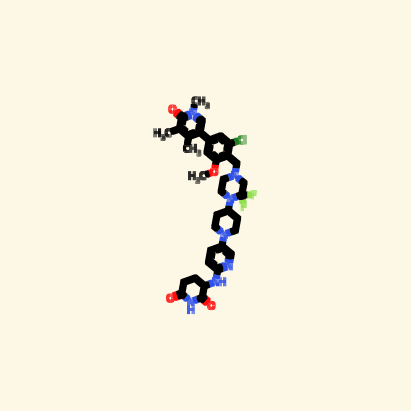 COc1cc(-c2cn(C)c(=O)c(C)c2C)cc(Cl)c1CN1CCN(C2CCN(c3ccc(NC4CCC(=O)NC4=O)nc3)CC2)C(F)(F)C1